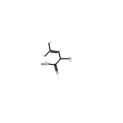 CCC(C=C(C)C)C(=O)OC